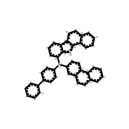 c1ccc(-c2ccc(N(c3ccc4c(ccc5ccccc54)c3)c3cccc4c3sc3c5ccccc5ccc43)cc2)cc1